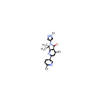 CCc1ccc(-c2cc(CC)c3c(n2)C(C)(C)N(c2cnn(CC)c2)C3=O)cn1